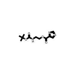 CC(C)(C)OC(=O)NCCOC(=O)c1cscn1